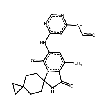 Cc1cc(Nc2cc(NC=O)ncn2)c(=O)n2c1C(=O)NC21CCC2(CC2)CC1